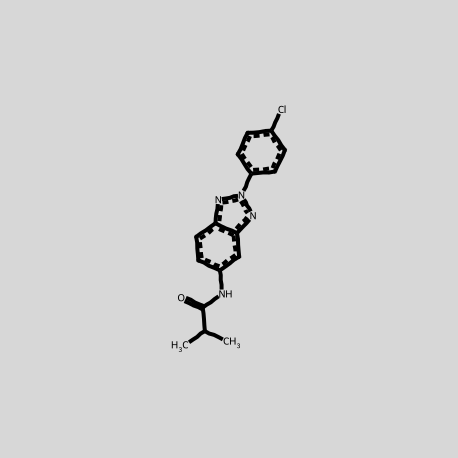 CC(C)C(=O)Nc1ccc2nn(-c3ccc(Cl)cc3)nc2c1